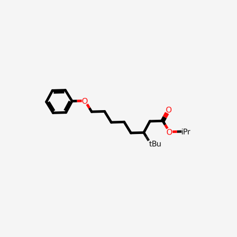 CC(C)OC(=O)CC(CCCCCOc1ccccc1)C(C)(C)C